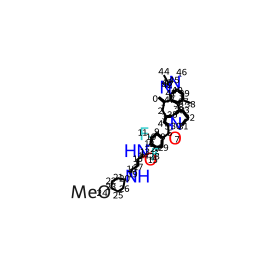 C=C1Cc2cc(C(=O)c3cc(F)c(NC(=O)/C=C/CNC4CCC(OC)CC4)c(F)c3)n3cccc(c23)-c2c(C)cc3c(nc(C)n3C)c21